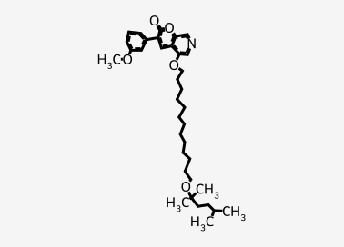 COc1cccc(-c2cc3c(OCCCCCCCCCCCCCOC(C)(C)CCC(C)C)cncc3oc2=O)c1